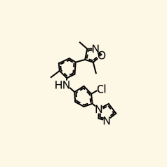 Cc1ccc(-c2c(C)noc2C)cc1Nc1ccc(-n2ccnc2)c(Cl)c1